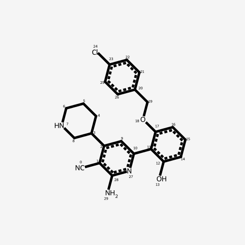 N#Cc1c(C2CCCNC2)cc(-c2c(O)cccc2OCc2ccc(Cl)cc2)nc1N